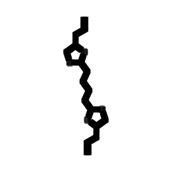 C=CCC1COC(CCCCC2OCC(CC=C)O2)O1